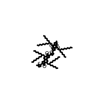 CCCCCCCCC(CCCCCC)COc1c2cc(-c3ccc(-c4cc5c(c(CC(CCCCCC)CCCCCCCC)cc6c7cc(-c8ccc(C)s8)c(=O)c7c(CC(CCCCCC)CCCCCCCC)cc56)c4=O)s3)sc2c(OCC(CCCCCC)CCCCCCCC)c2cc(C)sc12